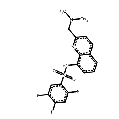 CN(C)Cc1ccc2cccc(NS(=O)(=O)c3cc(F)c(F)cc3F)c2n1